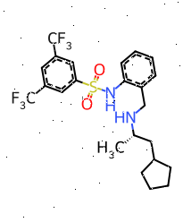 C[C@@H](CC1CCCC1)NCc1ccccc1NS(=O)(=O)c1cc(C(F)(F)F)cc(C(F)(F)F)c1